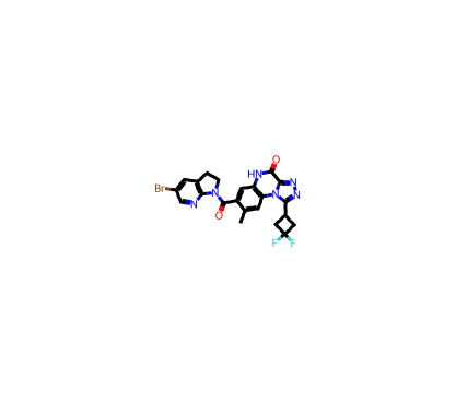 Cc1cc2c(cc1C(=O)N1CCc3cc(Br)cnc31)[nH]c(=O)c1nnc(C3CC(F)(F)C3)n12